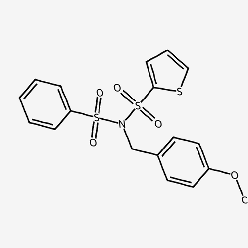 COc1ccc(CN(S(=O)(=O)c2ccccc2)S(=O)(=O)c2cccs2)cc1